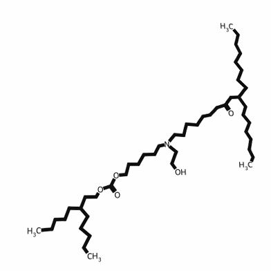 CCCCCCCCC(CCCCCCCC)CC(=O)CCCCCCCN(CCO)CCCCCCOC(=O)OCCC(CCCCC)CCCCC